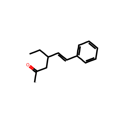 [CH2]C(=O)CC(/C=C/c1ccccc1)CC